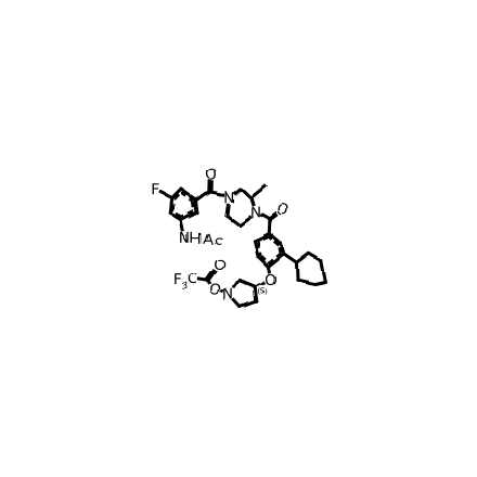 CC(=O)Nc1cc(F)cc(C(=O)N2CCN(C(=O)c3ccc(O[C@H]4CCN(OC(=O)C(F)(F)F)C4)c(C4CCCCC4)c3)C(C)C2)c1